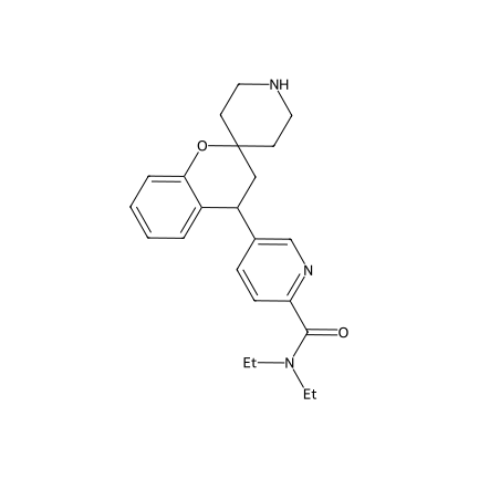 CCN(CC)C(=O)c1ccc(C2CC3(CCNCC3)Oc3ccccc32)cn1